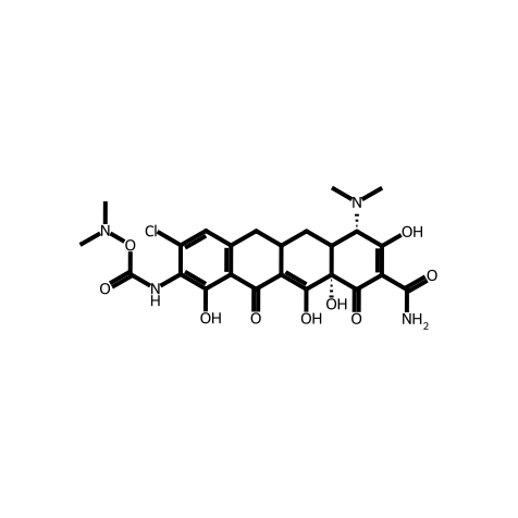 CN(C)OC(=O)Nc1c(Cl)cc2c(c1O)C(=O)C1=C(O)[C@]3(O)C(=O)C(C(N)=O)=C(O)[C@@H](N(C)C)C3CC1C2